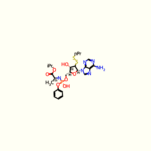 CCCSSC1[C@@H](O)[C@@H](COP(O)(=N[C@@H](C)C(=O)OC(C)C)Oc2ccccc2)O[C@H]1n1cnc2c(N)ncnc21